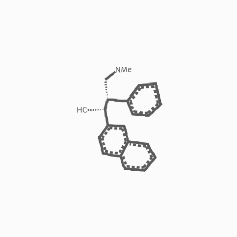 CNC[C@H](c1ccccc1)[C@@H](O)c1ccc2ccccc2c1